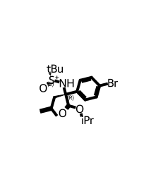 C=C(C)C[C@](N[S@@+]([O-])C(C)(C)C)(C(=O)OC(C)C)c1ccc(Br)cc1